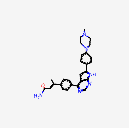 CC(=CC(N)=O)c1ccc(-c2ncnc3[nH]c(-c4ccc(N5CCN(C)CC5)cc4)cc23)cc1